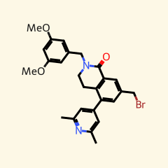 COc1cc(CN2CCc3c(cc(CBr)cc3-c3cc(C)nc(C)c3)C2=O)cc(OC)c1